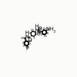 C[C@@H](NC(=O)[C@H]1CC[C@H](NS(=O)(=O)c2cccc(N)c2)CC1)c1ccc(F)cc1